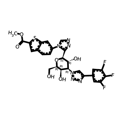 COC(=O)c1cc2ccc(-n3cnnc3[C@@H]3O[C@H](CO)[C@H](O)[C@H](n4cc(-c5cc(F)c(F)c(F)c5)nn4)[C@H]3O)cc2s1